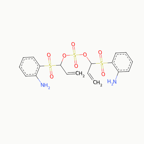 C=CC(OS(=O)(=O)OC(C=C)S(=O)(=O)c1ccccc1N)S(=O)(=O)c1ccccc1N